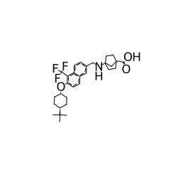 CC(C)(C)[C@H]1CC[C@H](Oc2ccc3cc(CNC45CCC(C(=O)O)(CC4)C5)ccc3c2C(F)(F)F)CC1